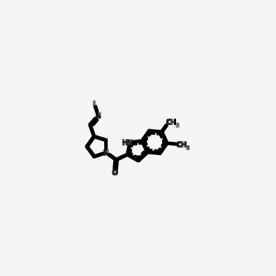 Cc1cc2cc(C(=O)N3CCC(C=NI)C3)[nH]c2cc1C